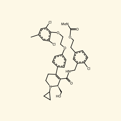 CNC(=O)OCCc1ccc(Cl)c(CNC(=O)C2=C(c3ccc(OCCOc4c(Cl)cc(C)cc4Cl)cc3)CCN(C3CC3)[C@@H]2CO)c1